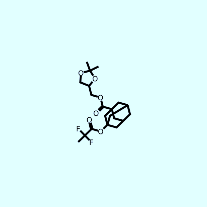 CC1(C)OCC(COC(=O)C23CC4CC(CC(OC(=O)C(C)(F)F)(C4)C2)C3)O1